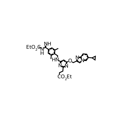 CCOC(=O)CCc1nc(NCc2c(C)cc(C(=N)NC(=O)OCC)cc2C)cc(OCc2cn3cc(C4CC4)ccc3n2)n1